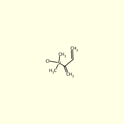 C=CC(=C)[Si](C)(C)Cl